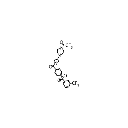 O=C(c1ccc(S(=O)(=O)c2cccc(C(F)(F)F)c2)cc1)N1CC(N2CCN(C(=O)C(F)(F)F)CC2)C1